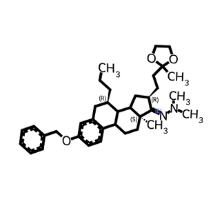 CCC[C@@H]1Cc2cc(OCc3ccccc3)ccc2C2CC[C@]3(C)/C(=N/N(C)C)[C@H](CCC4(C)OCCO4)CC3C21